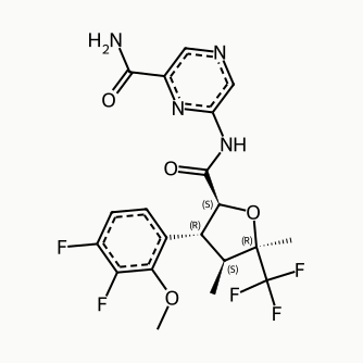 COc1c([C@@H]2[C@@H](C(=O)Nc3cncc(C(N)=O)n3)O[C@@](C)(C(F)(F)F)[C@H]2C)ccc(F)c1F